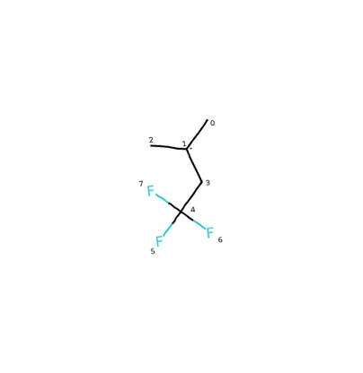 C[C](C)CC(F)(F)F